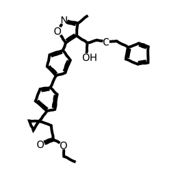 CCOC(=O)CC1(c2ccc(-c3ccc(-c4onc(C)c4C(O)CCCc4ccccc4)cc3)cc2)CC1